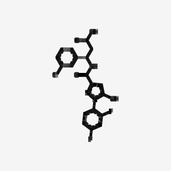 O=C(O)CC(NC(=O)c1cc(O)n(-c2ccc(F)cc2F)n1)c1cccc(Cl)c1